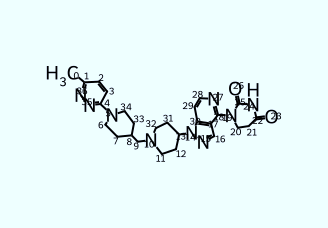 Cc1ccc(N2CCC(CN3CCC(n4ncc5c(N6CCC(=O)NC6=O)nccc54)CC3)CC2)nn1